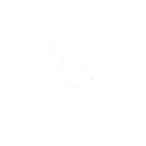 C=Cc1ncc[nH]1.O=S(=O)(NS(=O)(=O)C(F)(F)F)C(F)(F)F